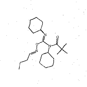 CCCC=NOC(=NC1CCCCC1)N(C(=O)C(C)(C)C)C1CCCCC1